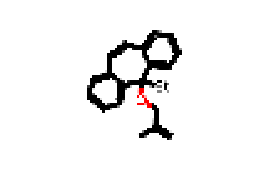 C=C(C)COC1(CC)c2ccccc2C=Cc2ccccc21